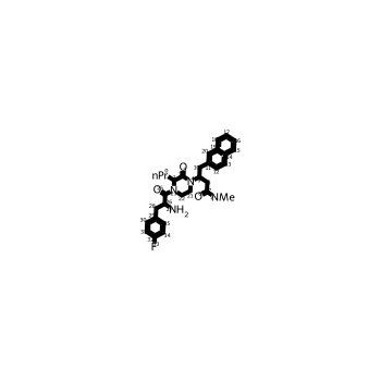 CCCC1C(=O)N(C(CC(=O)NC)Cc2ccc3ccccc3c2)CCN1C(=O)C(N)Cc1ccc(F)cc1